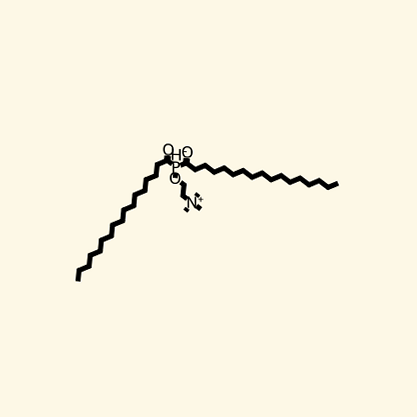 CCCCCCCCCCCCCCCCC(=O)[PH-](OCC[N+](C)(C)C)C(=O)CCCCCCCCCCCCCCCC